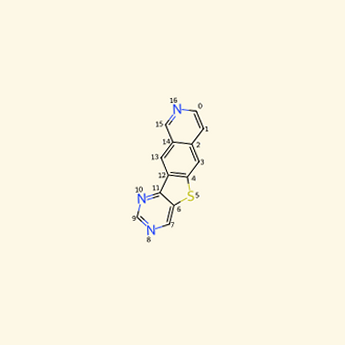 c1cc2cc3sc4cncnc4c3cc2cn1